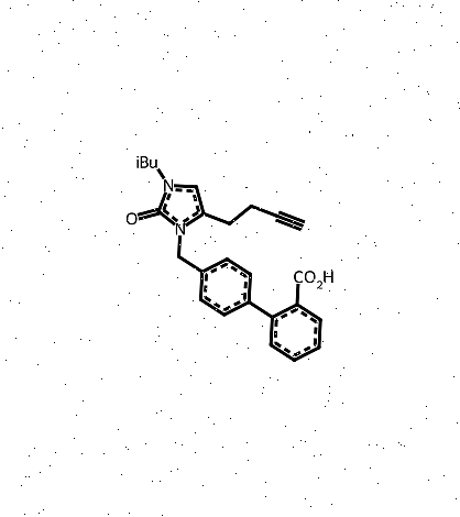 C#CCCc1cn(C(C)CC)c(=O)n1Cc1ccc(-c2ccccc2C(=O)O)cc1